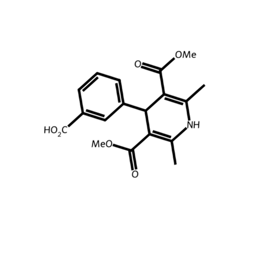 COC(=O)C1=C(C)NC(C)=C(C(=O)OC)C1c1cccc(C(=O)O)c1